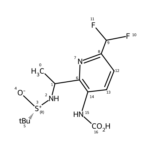 CC(N[S@@+]([O-])C(C)(C)C)c1nc(C(F)F)ccc1NC(=O)O